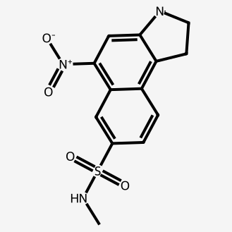 CNS(=O)(=O)c1ccc2c3c(cc([N+](=O)[O-])c2c1)[N]CC3